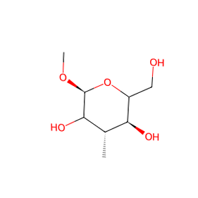 CO[C@H]1OC(CO)[C@@H](O)[C@H](C)C1O